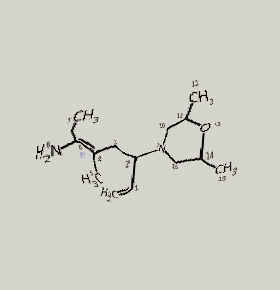 C=CC(C/C(C)=C(\C)N)N1CC(C)OC(C)C1